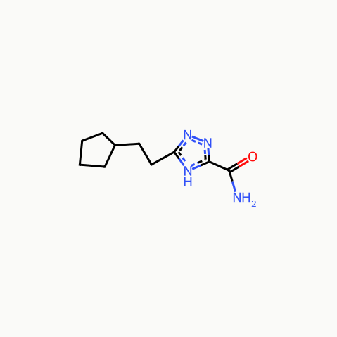 NC(=O)c1nnc(CCC2CCCC2)[nH]1